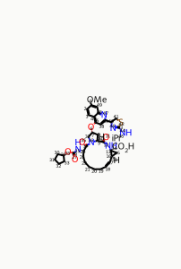 COc1ccc2c(O[C@@H]3C[C@H]4C(=O)N[C@]5(C(=O)O)C[C@H]5/C=C\CCCCC[C@H](NC(=O)OC5CCCC5)C(=O)N4C3)cc(C3CSC(NC(C)C)=N3)nc2c1